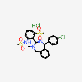 CN1Cc2ccccc2C(c2ccc(Cl)cc2)N=C1c1c(NS(C)(=O)=O)cccc1S(C)(=O)=O.Cl